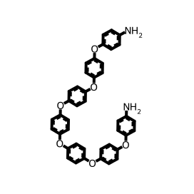 Nc1ccc(Oc2ccc(Oc3ccc(Oc4ccc(Oc5ccc(Oc6ccc(Oc7ccc(N)cc7)cc6)cc5)cc4)cc3)cc2)cc1